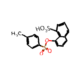 Cc1ccc(S(=O)(=O)Oc2cccc3cccc(S(=O)(=O)O)c23)cc1